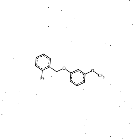 CCc1ccccc1COc1cccc(OC(F)(F)F)c1